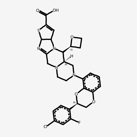 O=C(O)C1=CC2C(N=C3CN4CCN(c5cccc6c5O[C@H](c5ccc(Cl)cc5F)CO6)C[C@@H]4C([C@@H]4CCO4)N32)S1